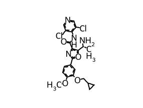 COc1ccc(-c2nc(C(=O)Nc3c(Cl)cncc3Cl)c([C@H](C)N)o2)cc1OCC1CC1